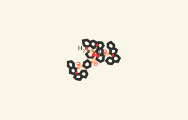 C=C(/C=C\C(=C/C)P(=O)(c1ccc(P(=O)(c2cccc3ccccc23)c2cccc3ccccc23)cc1)c1ccc(P(=O)(c2cccc3ccccc23)c2cccc3ccccc23)cc1)[PH](O)(c1cccc2ccccc12)c1cccc2ccccc12